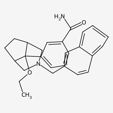 CCOC1(c2cccc(C(N)=O)c2)C2CCC1CN(Cc1ccc3ccccc3c1)C2